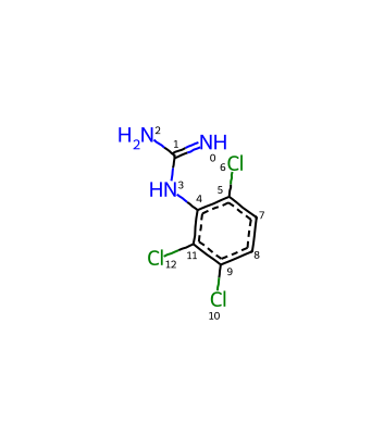 N=C(N)Nc1c(Cl)ccc(Cl)c1Cl